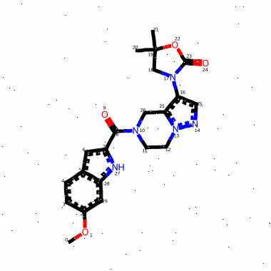 COc1ccc2cc(C(=O)N3CCn4ncc(N5CC(C)(C)OC5=O)c4C3)[nH]c2c1